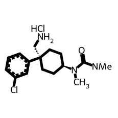 CNC(=O)N(C)[C@H]1CC[C@@](CN)(c2cccc(Cl)c2)CC1.Cl